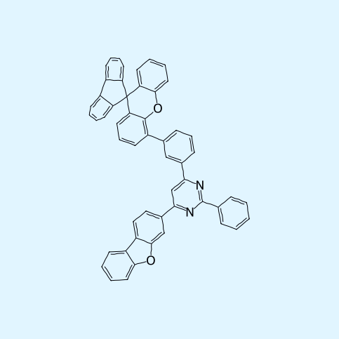 c1ccc(-c2nc(-c3cccc(-c4cccc5c4Oc4ccccc4C54c5ccccc5-c5ccccc54)c3)cc(-c3ccc4c(c3)oc3ccccc34)n2)cc1